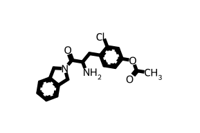 CC(=O)Oc1ccc(CC(N)C(=O)N2Cc3ccccc3C2)c(Cl)c1